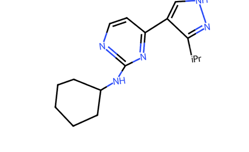 CC(C)c1n[nH]cc1-c1ccnc(NC2CCCCC2)n1